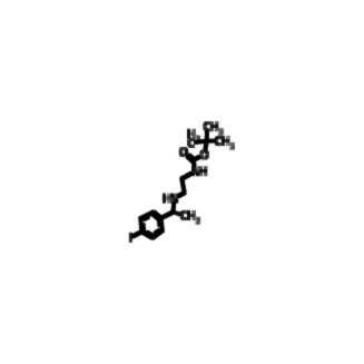 C[C@H](NCCNC(=O)OC(C)(C)C)c1ccc(I)cc1